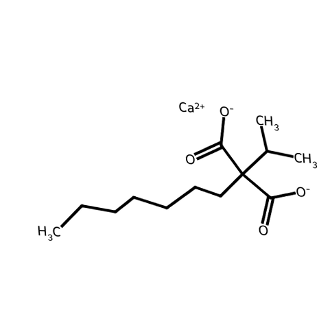 CCCCCCCC(C(=O)[O-])(C(=O)[O-])C(C)C.[Ca+2]